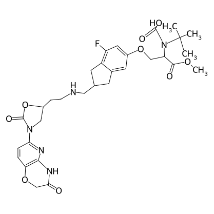 COC(=O)C(COc1cc(F)c2c(c1)CC(CNCCC1CN(c3ccc4c(n3)NC(=O)CO4)C(=O)O1)C2)N(C(=O)O)C(C)(C)C